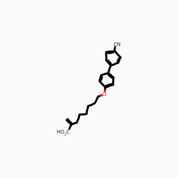 C=C(CCCCCCOc1ccc(-c2ccc(C#N)cc2)cc1)C(=O)O